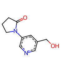 O=C1CCCN1c1cncc(CO)c1